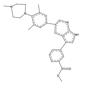 COC(=O)c1cccc(-c2c[nH]c3ncc(-c4cc(C)c(N5CCN(C)CC5)c(C)c4)cc23)c1